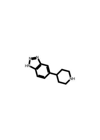 c1cc2[nH]nnc2cc1C1CCNCC1